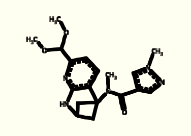 COC(OC)c1ccc2c(n1)NC1CC2(N(C)C(=O)c2cnn(C)c2)C1